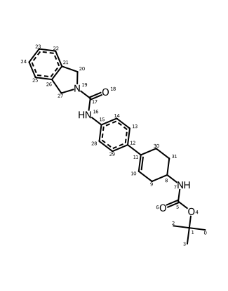 CC(C)(C)OC(=O)NC1CC=C(c2ccc(NC(=O)N3Cc4ccccc4C3)cc2)CC1